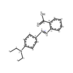 CCN(CC)c1ccc(/N=N/c2ccccc2C(=O)O)cc1